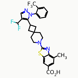 Cc1cc(C(=O)O)cc2sc(N3CCC4(CC3)CC(c3c(C(F)F)cnn3-c3ccccc3C(F)(F)F)C4)nc12